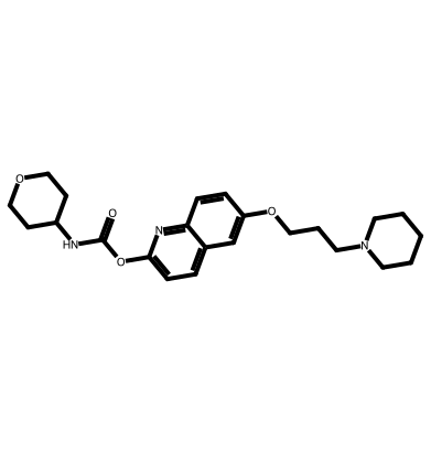 O=C(NC1CCOCC1)Oc1ccc2cc(OCCCN3CCCCC3)ccc2n1